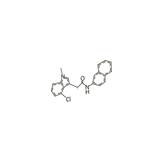 Cn1cc([CH]C(=O)Nc2ccc3ccccc3c2)c2c(Cl)cccc21